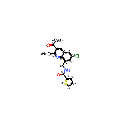 COC(=O)c1cc2cc(Cl)cc(CNC(=O)c3cccs3)c2nc1OC